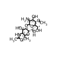 CO[C@@H]1C(CO)OC(O[C@H]2C(O)C(NC(C)=O)C(C)O[C@H]2CO)C(N)[C@H]1O